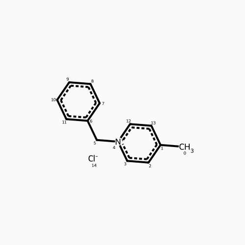 Cc1cc[n+](Cc2ccccc2)cc1.[Cl-]